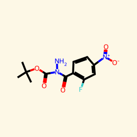 CC(C)(C)OC(=O)N(N)C(=O)c1ccc([N+](=O)[O-])cc1F